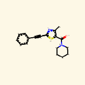 Cc1nc(C#Cc2ccccc2)sc1C(=O)N1CCCCC1